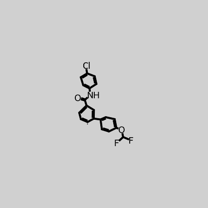 O=C(Nc1ccc(Cl)cc1)c1cc[c]c(-c2ccc(OC(F)F)cc2)c1